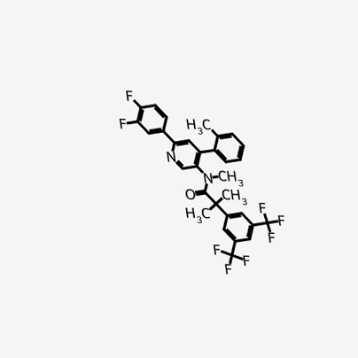 Cc1ccccc1-c1cc(-c2ccc(F)c(F)c2)ncc1N(C)C(=O)C(C)(C)c1cc(C(F)(F)F)cc(C(F)(F)F)c1